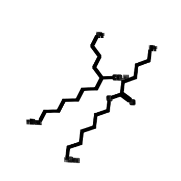 CCCCCCCCCCCCCCCCC(CCCC(C)C)C(=O)O.CCCCCCCCCCCCCCCCOC(=O)CCCCC(C)C